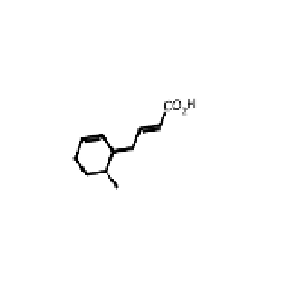 C[C@H]1CCC=CC1CC=CC(=O)O